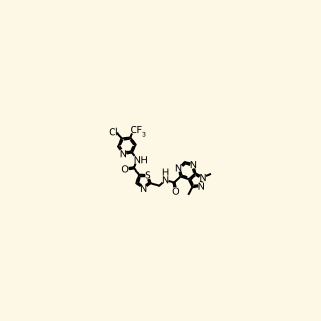 Cc1nn(C)c2ncnc(C(=O)NCc3ncc(C(=O)Nc4cc(C(F)(F)F)c(Cl)cn4)s3)c12